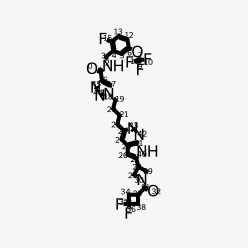 O=C(NCc1cc(OC(F)(F)F)ccc1F)c1cn(CCCCc2cc3cc(C4CN(C(=O)C5CC(F)(F)C5)C4)[nH]c3nn2)nn1